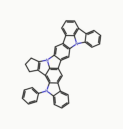 c1ccc(-n2c3ccccc3c3cc4c5cc6c(cc5n5c7c(c(c32)c45)CCC7)c2cccc3c4ccccc4n6c32)cc1